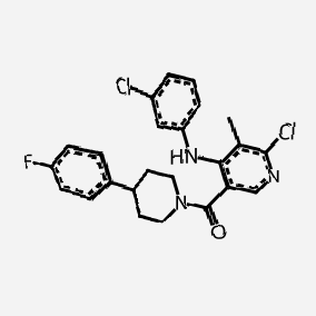 Cc1c(Cl)ncc(C(=O)N2CCC(c3ccc(F)cc3)CC2)c1Nc1cccc(Cl)c1